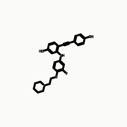 Oc1ccc(C#Cc2ccc(O)cc2Nc2ccc(OCCN3CCCCC3)c(F)c2)cc1